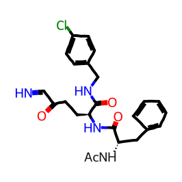 CC(=O)N[C@@H](Cc1ccccc1)C(=O)N[C@@H](CCC(=O)C=N)C(=O)NCc1ccc(Cl)cc1